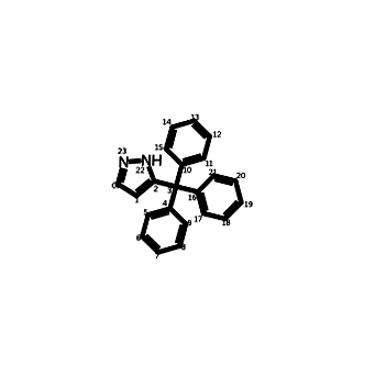 [c]1cc(C(c2ccccc2)(c2ccccc2)c2ccccc2)[nH]n1